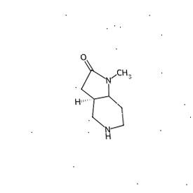 CN1C(=O)C[C@@H]2CNCCC21